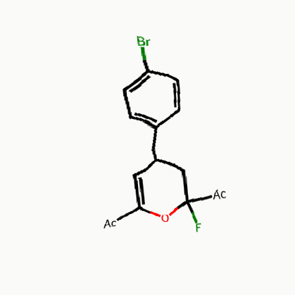 CC(=O)C1=CC(c2ccc(Br)cc2)CC(F)(C(C)=O)O1